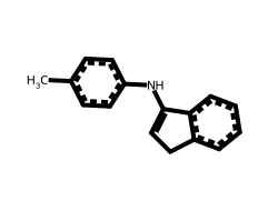 Cc1ccc(NC2=CCc3ccccc32)cc1